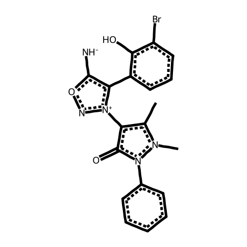 Cc1c(-[n+]2noc([NH-])c2-c2cccc(Br)c2O)c(=O)n(-c2ccccc2)n1C